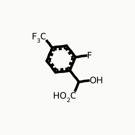 O=C(O)C(O)c1ccc(C(F)(F)F)cc1F